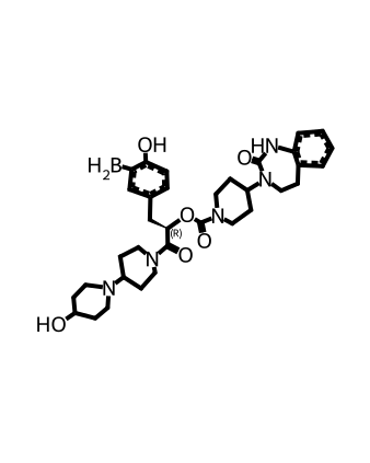 Bc1cc(C[C@@H](OC(=O)N2CCC(N3CCc4ccccc4NC3=O)CC2)C(=O)N2CCC(N3CCC(O)CC3)CC2)ccc1O